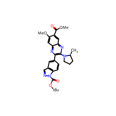 COC(=O)c1cc2nc(N3CCC[C@@H]3C)c(-c3ccc4c(cnn4C(=O)OC(C)(C)C)c3)nc2cc1OC